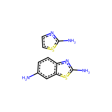 Nc1ccc2nc(N)sc2c1.Nc1nccs1